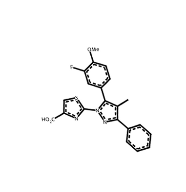 COc1ccc(-c2c(C)c(-c3ccccc3)nn2-c2nc(C(=O)O)cs2)cc1F